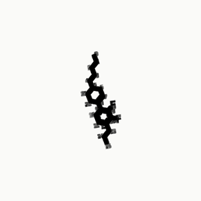 CCCCCC1CC=C(c2ccc(CCC)c(F)c2F)CC1